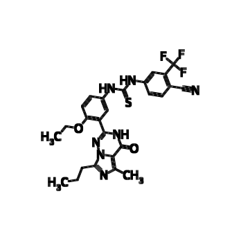 CCCc1nc(C)c2c(=O)[nH]c(-c3cc(NC(=S)Nc4ccc(C#N)c(C(F)(F)F)c4)ccc3OCC)nn12